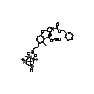 Cc1c(CCB2O[C@@H]3C[C@@H]4C[C@@H](C4(C)C)[C@]3(C)O2)ccc(OC2CN(C(=O)OCc3ccccc3)C2)c1C(=O)OC(C)(C)C